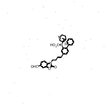 O=Cc1ccc2c(c1)oc(=O)n2CC/C=C/c1ccc(-c2ccccc2)c(N(C(=O)O)[C@H]2CN3CCC2CC3)c1